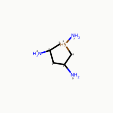 NC1CC(N)C[SH](N)C1